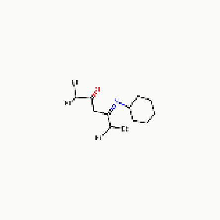 CCC(CC)C(=O)C/C(=N/C1CCCCC1)C(CC)CC